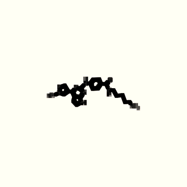 CCCn1cc(-c2nc(Nc3ccc(C(=O)NCCCCCN)cc3)nc3[nH]ccc23)cn1